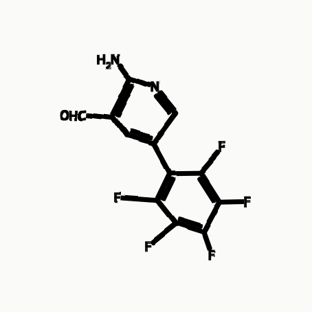 Nc1ncc(-c2c(F)c(F)c(F)c(F)c2F)cc1C=O